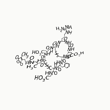 CC1=C(CCC(=O)NCC(C)C(=O)NC2CSSCC(C(=O)NCC(=O)O)NC(=O)C(Cc3ccccc3)NC(=O)C3CSSCC(NC(=O)C(CC(=O)O)NC2=O)C(=O)NC(CCCNC(=N)N)C(=O)NCC(=O)NC(CC(=O)O)C(=O)N3)C(=O)OC1=O